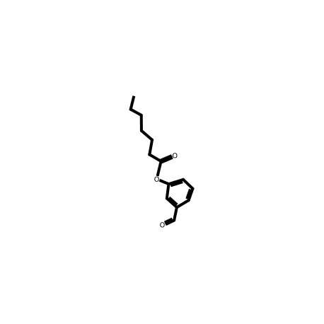 CCCCCCC(=O)Oc1cccc(C=O)c1